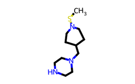 CSN1CCC(CN2CCNCC2)CC1